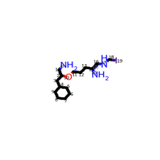 NCC(CC1CCCCC1)OCCC/C(N)=C/NCI